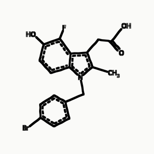 Cc1c(CC(=O)O)c2c(F)c(O)ccc2n1Cc1ccc(Br)cc1